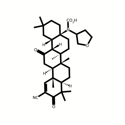 CC1(C)CC[C@]2(N(C(=O)O)C3CCOC3)CC[C@]3(C)[C@H](C(=O)C[C@@H]4[C@@]5(C)C=C(C#N)C(=O)C(C)(C)[C@@H]5CC[C@]43C)[C@@H]2C1